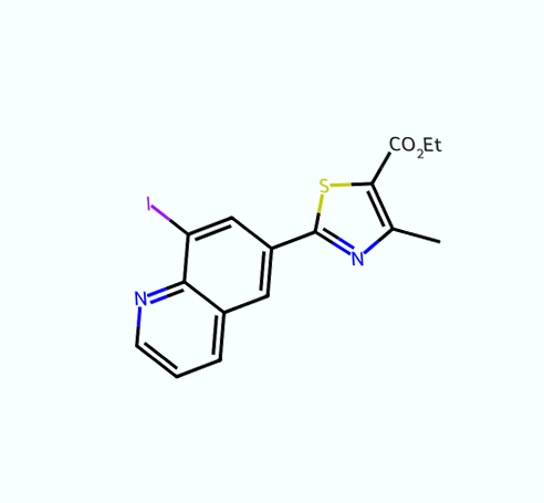 CCOC(=O)c1sc(-c2cc(I)c3ncccc3c2)nc1C